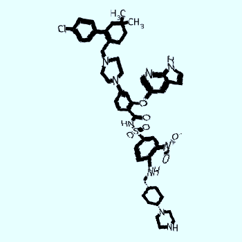 CC1(C)CCC(CN2CCN(c3ccc(C(=O)NS(=O)(=O)c4ccc(NC[C@H]5CC[C@@H](N6CCNCC6)CC5)c([N+](=O)[O-])c4)c(Oc4cnc5[nH]ccc5c4)c3)CC2)=C(c2ccc(Cl)cc2)C1